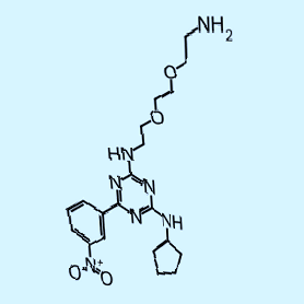 NCCOCCOCCNc1nc(NC2CCCC2)nc(-c2cccc([N+](=O)[O-])c2)n1